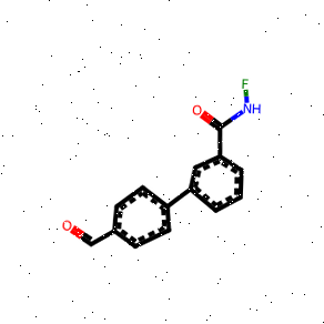 O=Cc1ccc(-c2cccc(C(=O)NF)c2)cc1